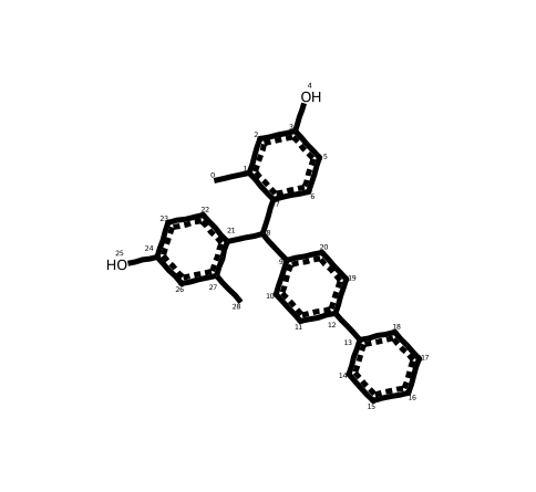 Cc1cc(O)ccc1C(c1ccc(-c2ccccc2)cc1)c1ccc(O)cc1C